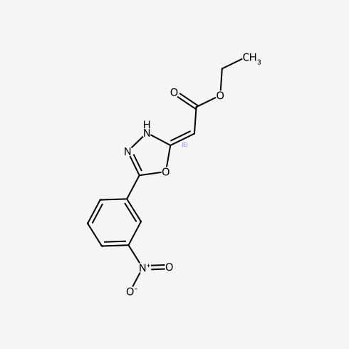 CCOC(=O)/C=C1\NN=C(c2cccc([N+](=O)[O-])c2)O1